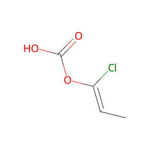 CC=C(Cl)OC(=O)O